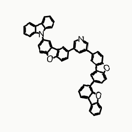 c1ccc2c(c1)oc1c(-c3ccc4oc5ccc(-c6cncc(-c7ccc8oc9ccc(-n%10c%11ccccc%11c%11ccccc%11%10)cc9c8c7)c6)cc5c4c3)cccc12